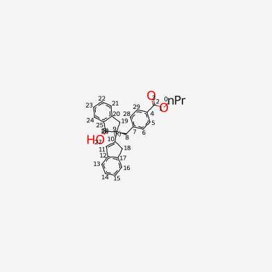 CCCOC(=O)c1ccc(C[C@]2(C3=Cc4ccccc4C3)Cc3ccccc3[C@@H]2O)cc1